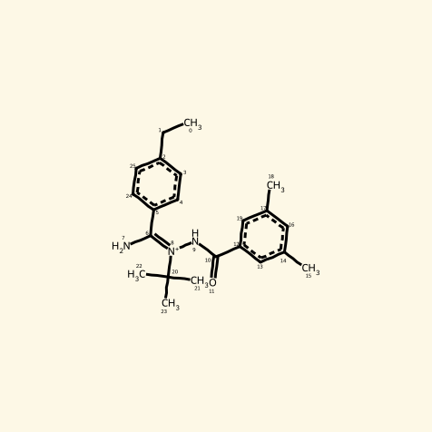 CCc1ccc(C(N)=[N+](NC(=O)c2cc(C)cc(C)c2)C(C)(C)C)cc1